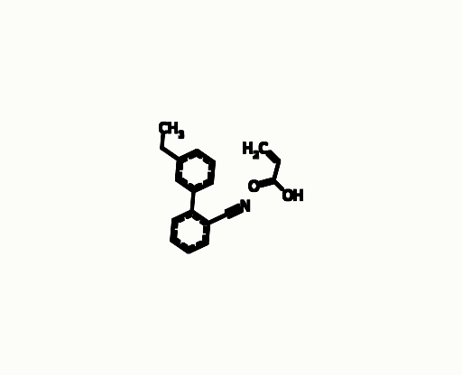 C=CC(=O)O.CCc1cccc(-c2ccccc2C#N)c1